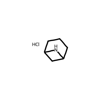 C1CC2CC(C1)N2.Cl